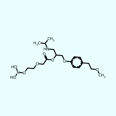 COCCc1ccc(OCC(CNC(C)C)OC(=O)COCCON(O)O)cc1